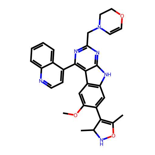 COc1cc2c(cc1C1=C(C)ONC1C)[nH]c1nc(CN3C=COCC3)nc(-c3ccnc4ccccc34)c12